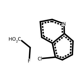 Clc1cccc2ncccc12.O=C(O)CF